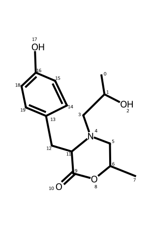 CC(O)CN1CC(C)OC(=O)C1Cc1ccc(O)cc1